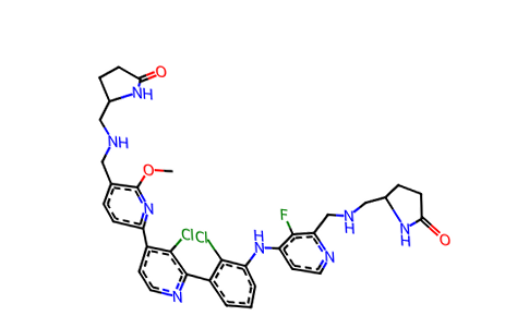 COc1nc(-c2ccnc(-c3cccc(Nc4ccnc(CNCC5CCC(=O)N5)c4F)c3Cl)c2Cl)ccc1CNCC1CCC(=O)N1